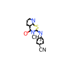 Cn1c(=Nc2ccc(C#N)cc2)sc2ncccc2c1=O